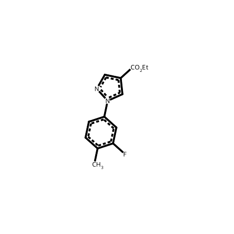 CCOC(=O)c1cnn(-c2ccc(C)c(F)c2)c1